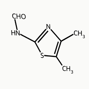 Cc1nc(NC=O)sc1C